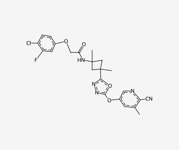 Cc1cc(Oc2nnc(C3(C)CC(C)(NC(=O)COc4ccc(Cl)c(F)c4)C3)o2)cnc1C#N